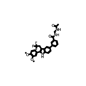 COc1ccc(-c2[nH]c3ccc(-c4cccc(C(=O)NCNC(C)=O)c4)cc3c2CC(F)(F)F)cc1OC